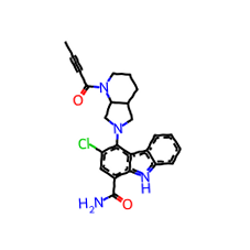 CC#CC(=O)N1CCCC2CN(c3c(Cl)cc(C(N)=O)c4[nH]c5ccccc5c34)CC21